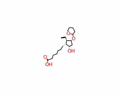 C=C[C@@H]1[C@@H](CCCCCCC(=O)O)[C@@H](O)C[C@H]1OC1CCCCO1